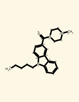 CCCCCn1c2ccccc2c2cc(C(=O)N3CCN(C)CC3)ccc21